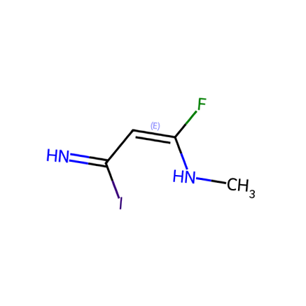 CN/C(F)=C\C(=N)I